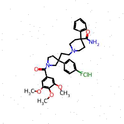 COc1cc(C(=O)N2CCC(CCN3CCC(C(N)=O)(c4ccccc4)CC3)(c3ccc(F)cc3)C2)cc(OC)c1OC.Cl